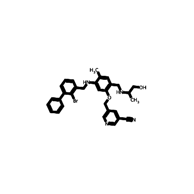 Cc1cc(CNC(C)CO)c(OCc2cncc(C#N)c2)cc1NCc1cccc(-c2ccccc2)c1Br